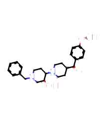 COc1ccc(C(=O)C2CCN(C3CCN(Cc4ccccc4)CC3O)CC2)cc1